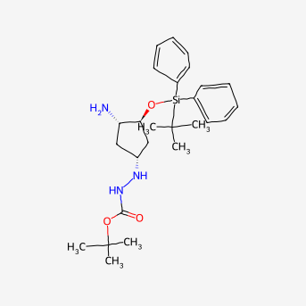 CC(C)(C)OC(=O)NN[C@H]1C[C@H](O[Si](c2ccccc2)(c2ccccc2)C(C)(C)C)[C@@H](N)C1